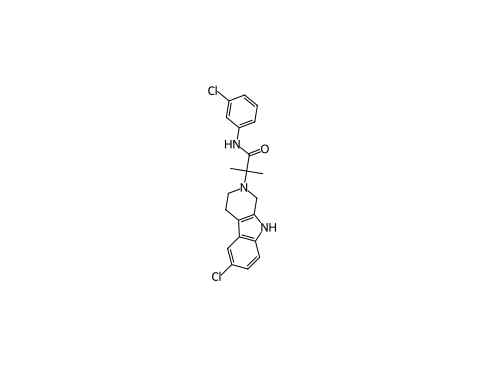 CC(C)(C(=O)Nc1cccc(Cl)c1)N1CCc2c([nH]c3ccc(Cl)cc23)C1